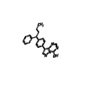 CCCC(c1ccccc1)c1ccc(-c2cnn3c(O)ncnc23)cc1